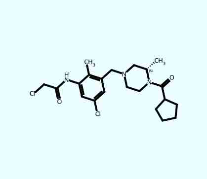 Cc1c(CN2CCN(C(=O)C3CCCC3)[C@@H](C)C2)cc(Cl)cc1NC(=O)CCl